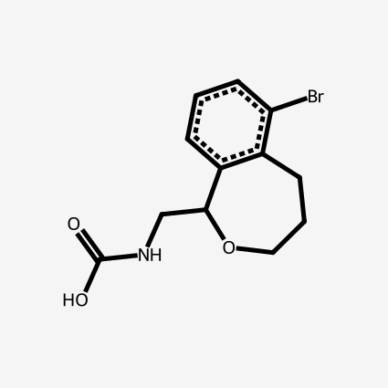 O=C(O)NCC1OCCCc2c(Br)cccc21